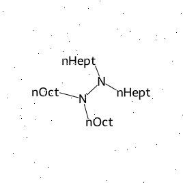 CCCCCCCCN(CCCCCCCC)N(CCCCCCC)CCCCCCC